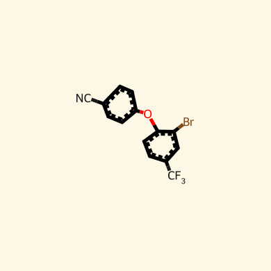 N#Cc1ccc(Oc2ccc(C(F)(F)F)cc2Br)cc1